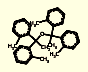 Cc1ccccc1C(C)(OC(C)(c1ccccc1C)c1ccccc1C)c1ccccc1C